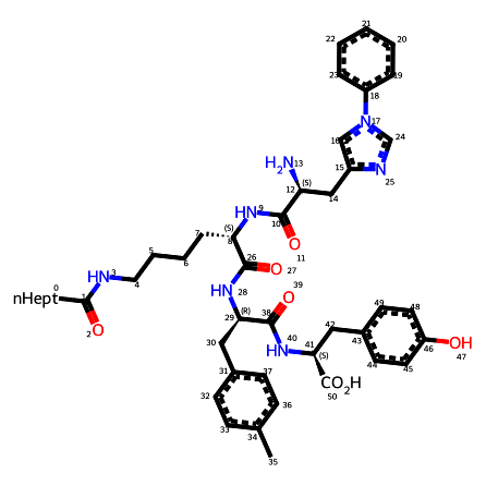 CCCCCCCC(=O)NCCCC[C@H](NC(=O)[C@@H](N)Cc1cn(-c2ccccc2)cn1)C(=O)N[C@H](Cc1ccc(C)cc1)C(=O)N[C@@H](Cc1ccc(O)cc1)C(=O)O